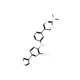 CN(C)c1ncc(-c2cccc(Nc3ccc(-c4ccoc4)cc3N)c2)cn1